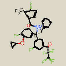 O=C(N[C@@](Cc1ccccc1)(c1cc(F)cc(C(=O)C(F)(F)C(F)F)c1)c1ccc(F)c(OC2CC2)c1)c1ccc(F)c(C(F)(F)F)c1